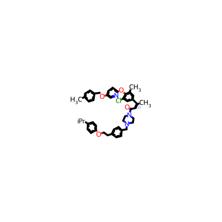 C/C(=C/C(=O)N1CCN(Cc2ccc(CCOc3ccc(C(C)C)cc3)cc2)CC1)c1cc(C)c(Oc2ccc(OCc3ccc(C)cc3)cn2)c(Cl)c1